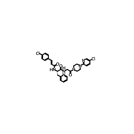 O=C(C=Cc1ccc(Cl)cc1)N[C@@H](Cc1ccccn1)C(=O)NCC(=O)N1CCN(c2ccc(Cl)cn2)CC1